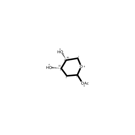 CC(=O)OC1C[C@H](O)[C@H](O)CO1